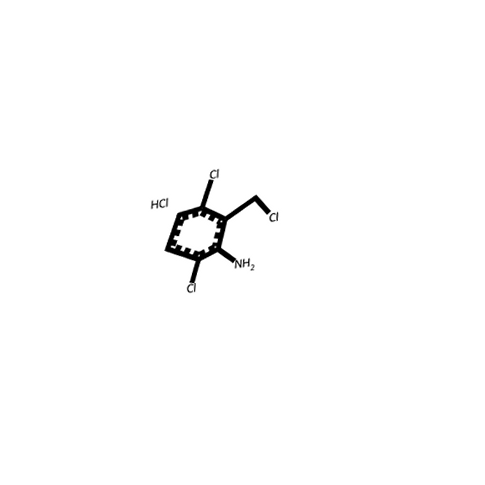 Cl.Nc1c(Cl)ccc(Cl)c1CCl